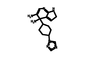 NC1=CN=C2NCC=C2C1(N)C1CCC(n2cncn2)CC1